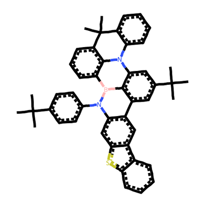 CC(C)(C)c1ccc(N2B3c4cccc5c4N(c4ccccc4C5(C)C)c4cc(C(C)(C)C)cc(c43)-c3cc4c(cc32)sc2ccccc24)cc1